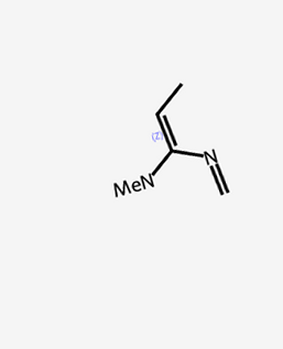 C=N/C(=C\C)NC